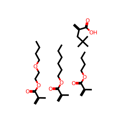 C=C(C)C(=O)OCCCC.C=C(C)C(=O)OCCCCCC.C=C(C)C(=O)OCCOCCCC.C=C(CC(C)(C)C)C(=O)O